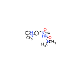 CN(C)CC(=O)NC1(C(=O)NCc2ccc(Nc3ccccc3C(F)(F)F)cc2)CC1